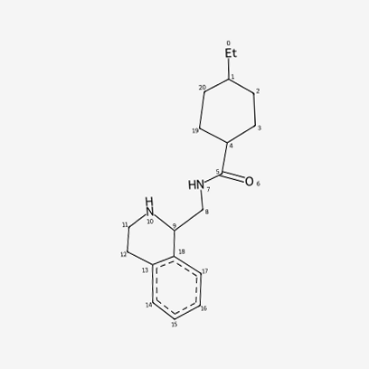 CCC1CCC(C(=O)NCC2NCCc3ccccc32)CC1